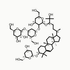 C[C@H](CC[C@@H](O[C@@H]1O[C@H](CO)C[C@H](O)C1O[C@H]1C[C@@H](O[C@@H]2O[C@H](CO)C[C@H](O)[C@H]2O)C[C@@H](CO)O1)C(C)(C)O)C1CC[C@@]2(C)C3CC=C4C(CC[C@H](O[C@H]5C[C@@H](O)C[C@@H](CO)O5)C4(C)C)[C@]3(C)CC[C@]12C